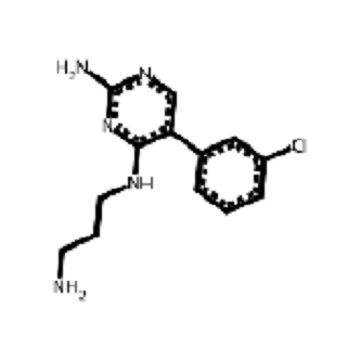 NCCCNc1nc(N)ncc1-c1cccc(Cl)c1